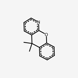 CC1(C)c2ccccc2Oc2ncccc21